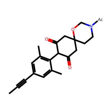 CC#Cc1cc(C)c(C2C(=O)CC3(CCN(C(C)=O)CO3)CC2=O)c(C)c1